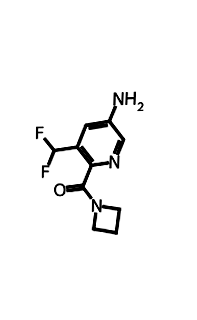 Nc1cnc(C(=O)N2CCC2)c(C(F)F)c1